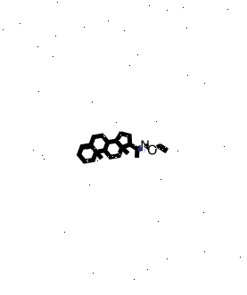 C=CO/N=C(\C)C1CCC2C3CCC4=CCCCC4(C)C3CCC12C